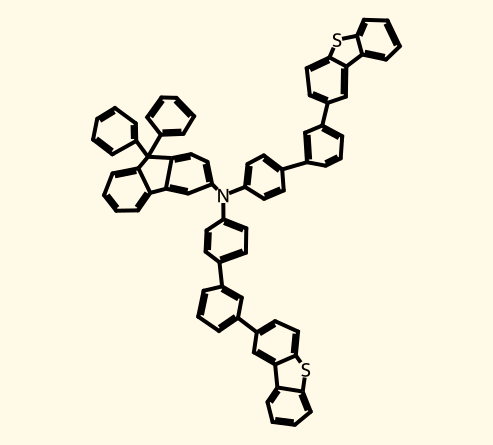 c1ccc(C2(c3ccccc3)c3ccccc3-c3cc(N(c4ccc(-c5cccc(-c6ccc7sc8ccccc8c7c6)c5)cc4)c4ccc(-c5cccc(-c6ccc7sc8ccccc8c7c6)c5)cc4)ccc32)cc1